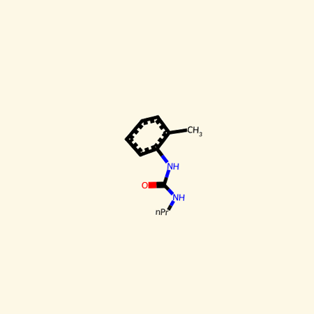 CCCNC(=O)Nc1ccccc1C